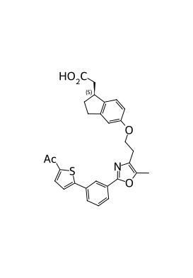 CC(=O)c1ccc(-c2cccc(-c3nc(CCOc4ccc5c(c4)CC[C@H]5CC(=O)O)c(C)o3)c2)s1